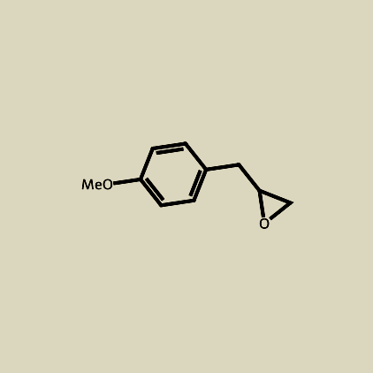 COc1ccc(CC2CO2)cc1